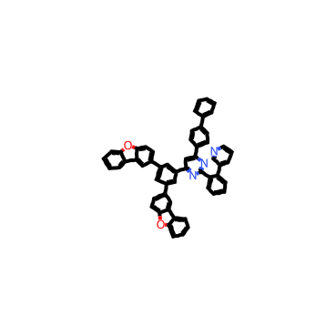 c1ccc(-c2ccc(-c3cc(-c4cc(-c5ccc6oc7ccccc7c6c5)cc(-c5ccc6oc7ccccc7c6c5)c4)nc(-c4ccccc4-c4cccnc4)n3)cc2)cc1